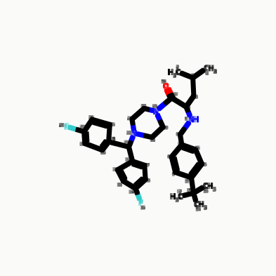 CC(C)CC(NCc1ccc(C(C)(C)C)cc1)C(=O)N1CCN(C(c2ccc(F)cc2)c2ccc(F)cc2)CC1